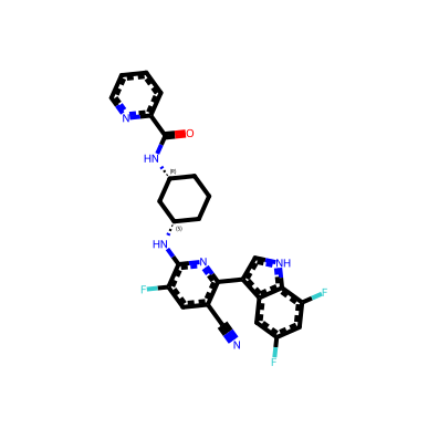 N#Cc1cc(F)c(N[C@H]2CCC[C@@H](NC(=O)c3ccccn3)C2)nc1-c1c[nH]c2c(F)cc(F)cc12